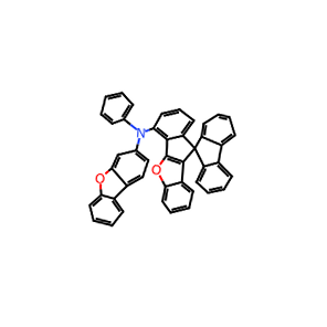 c1ccc(N(c2ccc3c(c2)oc2ccccc23)c2cccc3c2-c2oc4ccccc4c2C32c3ccccc3-c3ccccc32)cc1